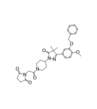 COc1ccc(C2=NN(C3CCN(C(=O)CN4C(=O)CCC4=O)CC3)C(=O)C2(C)C)cc1OCc1ccccc1